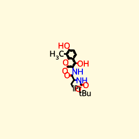 Cc1c(O)ccc2c(O)c(NC(=O)C(CC(C)C)NC(=O)OC(C)(C)C)c(=O)oc12